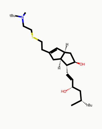 CCCC[C@H](C)C[C@H](O)/C=C/[C@@H]1[C@H]2CC(CCSCCN(C)C(C)(C)C)=C[C@H]2C[C@H]1O